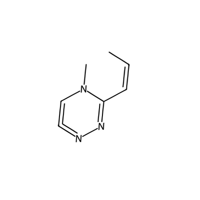 C/C=C\C1=NN=C=CN1C